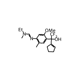 CCN(C)/C=N/c1cc(OC)c(C(O)(C2=CCCC2)C(F)(F)F)cc1C